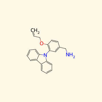 C=CCOc1ccc(CN)cc1-n1c2ccccc2c2ccccc21